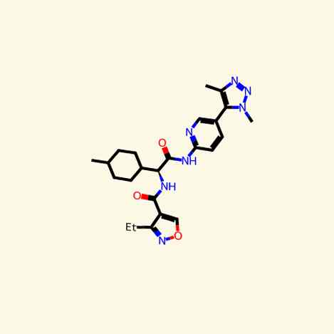 CCc1nocc1C(=O)N[C@H](C(=O)Nc1ccc(-c2c(C)nnn2C)cn1)C1CCC(C)CC1